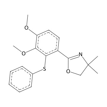 COc1ccc(C2=NC(C)(C)CO2)c(Sc2ccccc2)c1OC